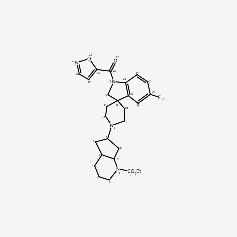 CCOC(=O)N1CCCC2CC(N3CCC4(CC3)CN(C(=O)c3ccno3)c3ccc(F)cc34)CC21